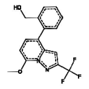 COc1ccc(-c2ccccc2CO)c2cc(C(F)(F)F)nn12